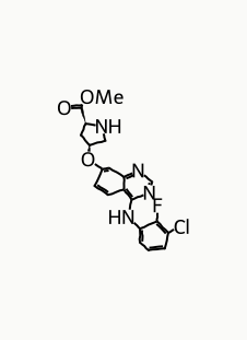 COC(=O)[C@@H]1C[C@H](Oc2ccc3c(Nc4cccc(Cl)c4F)ncnc3c2)CN1